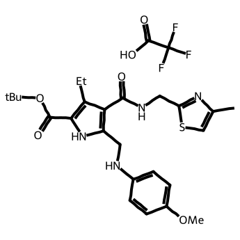 CCc1c(C(=O)OC(C)(C)C)[nH]c(CNc2ccc(OC)cc2)c1C(=O)NCc1nc(C)cs1.O=C(O)C(F)(F)F